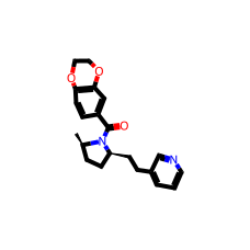 C[C@@H]1CC[C@H](CCc2cccnc2)N1C(=O)c1ccc2c(c1)OCCO2